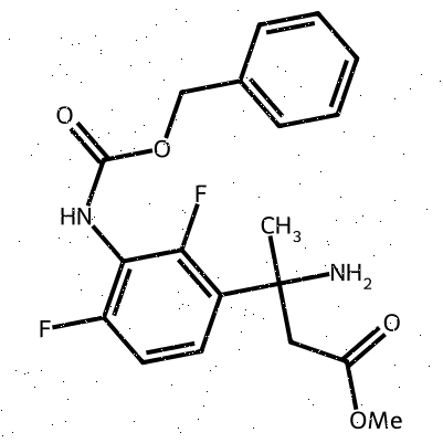 COC(=O)CC(C)(N)c1ccc(F)c(NC(=O)OCc2ccccc2)c1F